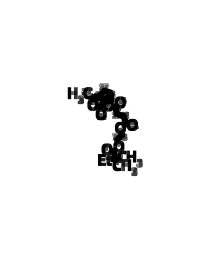 CCC(C)(C)C(=O)OCCOC(=O)CCC(=O)OC1C2CC3C(=O)OC1(C)C3C2